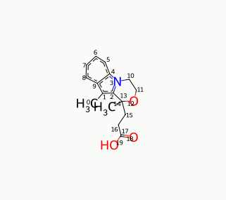 Cc1c2n(c3ccccc13)CCOC2(C)CCC(=O)O